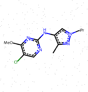 COc1nc(Nc2cn(C(C)C)nc2C)ncc1Cl